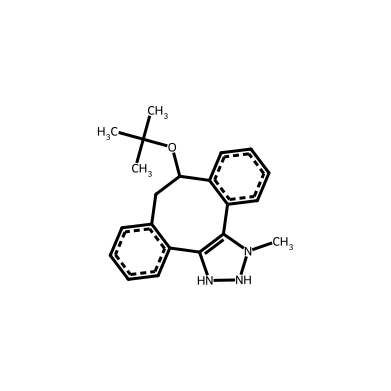 CN1NNC2=C1c1ccccc1C(OC(C)(C)C)Cc1ccccc12